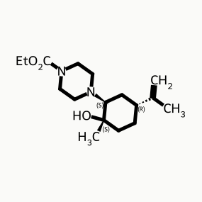 C=C(C)[C@@H]1CC[C@](C)(O)[C@@H](N2CCN(C(=O)OCC)CC2)C1